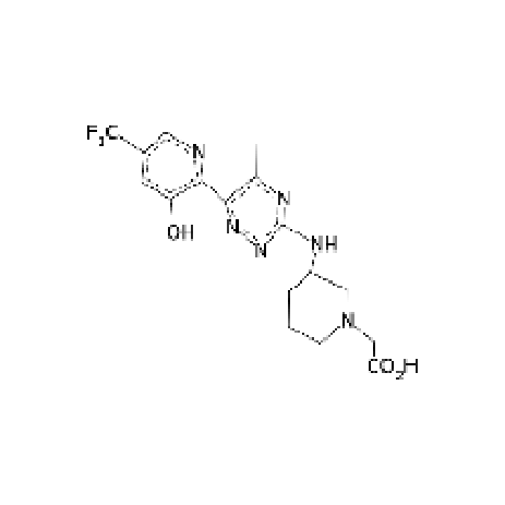 Cc1nc(NC2CCCN(CC(=O)O)C2)nnc1-c1ncc(C(F)(F)F)cc1O